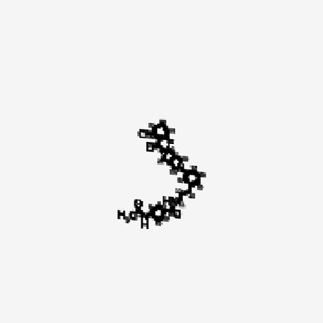 CC(=O)Nc1ccc(C(=O)NCCCc2cccc(N3CC4CN(C(=O)c5c(F)cccc5Cl)CC4C3)c2)cc1